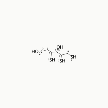 O=C(O)CC(S)C(O)C(S)CS